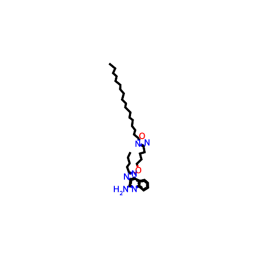 CCCCCCCCCCCCCCCCCc1nc(CCCCOn2c(CCCC)nc3c(N)nc4ccccc4c32)no1